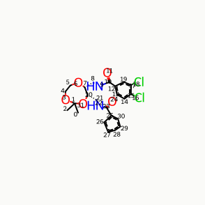 CC1(C)OCCO[C@H](CNC(=O)c2ccc(Cl)c(Cl)c2)[C@H](CNC(=O)c2ccccc2)O1